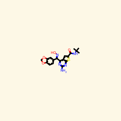 CC(C)(C)NC(=O)c1cc2c(C(=NO)c3ccc4c(c3)OCO4)nc(N)nc2s1